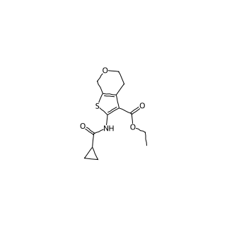 CCOC(=O)c1c(NC(=O)C2CC2)sc2c1CCOC2